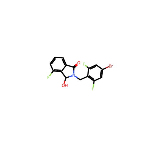 O=C1c2cccc(F)c2C(O)N1Cc1c(F)cc(Br)cc1F